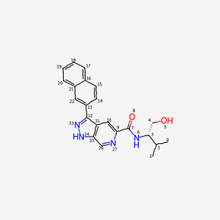 CC(C)[C@@H](CO)NC(=O)c1cc2c(-c3ccc4ccccc4c3)n[nH]c2cn1